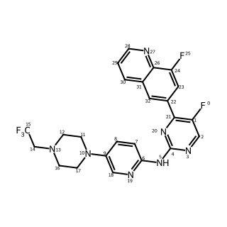 Fc1cnc(Nc2ccc(N3CCN(CC(F)(F)F)CC3)cn2)nc1-c1cc(F)c2ncccc2c1